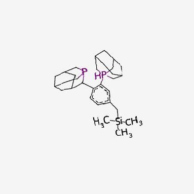 C[Si](C)(C)Cc1ccc(C2C3CC4CC(C3)CP2C4)c([PH]23CC4CC(CC(C4)C2)C3)c1